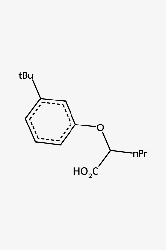 CCCC(Oc1cccc(C(C)(C)C)c1)C(=O)O